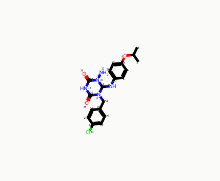 CC(C)Oc1ccc(NC2N(N)C(=O)NC(=O)N2Cc2ccc(Cl)cc2)cc1